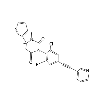 CN1C(=O)N(c2c(F)cc(C#Cc3cccnc3)cc2Cl)C(=O)CC1(C)c1cccnc1